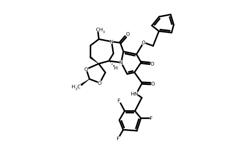 CC1CC[C@]2(CO[C@@H](C)O2)[C@H]2CN1C(=O)c1c(OCc3ccccc3)c(=O)c(C(=O)NCc3c(F)cc(F)cc3F)cn12